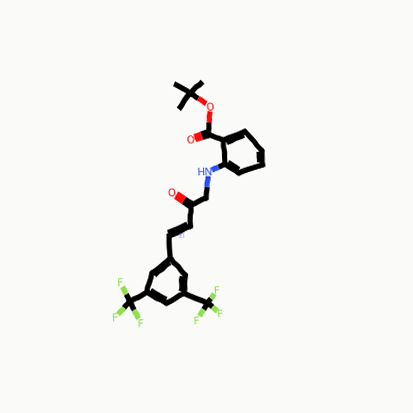 CC(C)(C)OC(=O)c1ccccc1NCC(=O)/C=C/c1cc(C(F)(F)F)cc(C(F)(F)F)c1